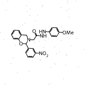 COc1ccc(NNC(=O)CN2Cc3ccccc3OC2c2cccc([N+](=O)[O-])c2)cc1